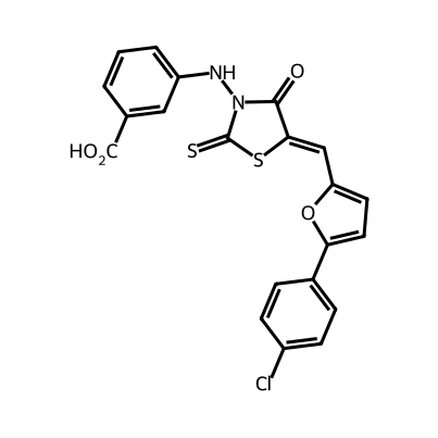 O=C(O)c1cccc(NN2C(=O)C(=Cc3ccc(-c4ccc(Cl)cc4)o3)SC2=S)c1